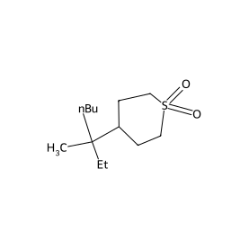 CCCCC(C)(CC)C1CCS(=O)(=O)CC1